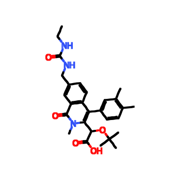 CCNC(=O)NCc1ccc2c(-c3ccc(C)c(C)c3)c(C(OC(C)(C)C)C(=O)O)n(C)c(=O)c2c1